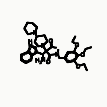 CCOc1cc(CN(C)C(=O)C(C(C)=O)(C(N)c2c[nH]c3ccccc23)N2CCC(N3CCCCC3)CC2)cc(OCC)c1OCC